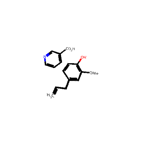 C=CCc1ccc(O)c(OC)c1.O=C(O)c1cccnc1